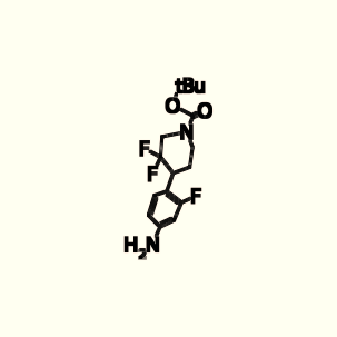 CC(C)(C)OC(=O)N1CCC(c2ccc(N)cc2F)C(F)(F)C1